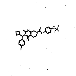 Cc1nc2c(c(=O)n1C(c1ccc(F)cc1)C1CCC1)CCN(C(=O)Oc1ccc(OC(F)(F)F)cc1)C2